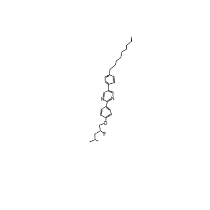 CCCCCCCCCc1ccc(-c2cnc(-c3ccc(OCC(F)CC(C)C)cc3)nc2)cc1